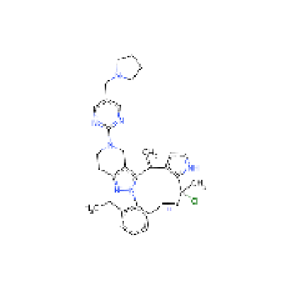 C=C1c2cc[nH]c2C(C)(Cl)/C=C/c2cccc(CC)c2-n2nc3c(c21)CN(c1ncc(CN2CCCC2)cn1)CC3